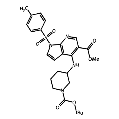 COC(=O)c1cnc2c(ccn2S(=O)(=O)c2ccc(C)cc2)c1NC1CCCN(C(=O)OC(C)(C)C)C1